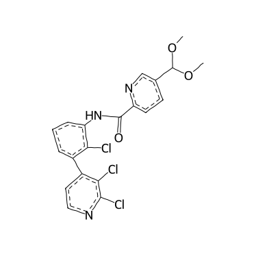 COC(OC)c1ccc(C(=O)Nc2cccc(-c3ccnc(Cl)c3Cl)c2Cl)nc1